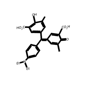 CCN(CC)c1ccc(C(=C2C=C(C)C(=O)C(C(=O)O)=C2)c2cc(C)c(O)c(C(=O)O)c2)cc1